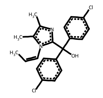 C/C=C\n1c(C(O)(c2ccc(Cl)cc2)c2ccc(Cl)cc2)nc(C)c1C